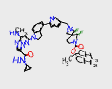 CNc1cc(N2CCc3c(-c4ccc(CN5CC6(CCN(C(=O)OC(C)(C)C)CC6(F)F)C5)cn4)cccc32)nn2c(C(=O)NC3CC3)cnc12